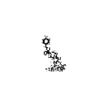 CC(C)(C)OC(=O)N[C@@H](CO[Si](C)(C)C(C)(C)C)CN1CCN(C(=O)OCc2ccccc2)CC1